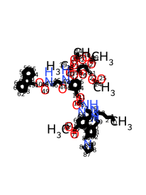 CCCCc1nc2c(NC(=O)OCc3ccc(O[C@H]4O[C@H](COC(C)=O)[C@@H](OC(C)=O)[C@H](OC(C)=O)[C@@H]4OC(C)=O)c(NC(=O)CCNC(=O)OCC4c5ccccc5-c5ccccc54)c3)nc3cc(C(=O)OC)ccc3c2n1Cc1ccc(CN2CCCC2)cc1